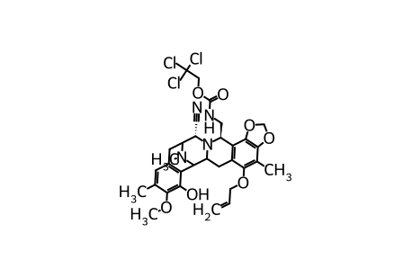 C=CCOc1c(C)c2c(c3c1CC1C4c5c(cc(C)c(OC)c5O)CC([C@H](C#N)N1[C@H]3CNC(=O)OCC(Cl)(Cl)Cl)N4C)OCO2